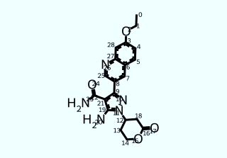 CCOc1ccc2cc(-c3nn(C4CCOC(=O)C4)c(N)c3C(N)=O)cnc2c1